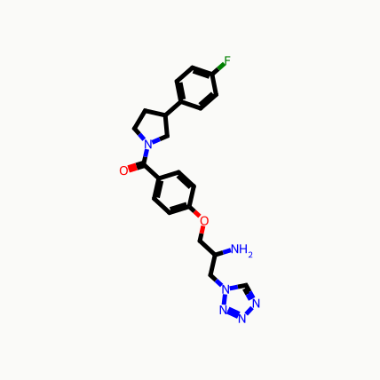 NC(COc1ccc(C(=O)N2CCC(c3ccc(F)cc3)C2)cc1)Cn1cnnn1